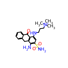 C[N+](C)(C)CCCNc1cc(S(N)(=O)=O)c(N)c2c1C(=O)c1ccccc1C2